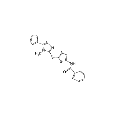 Cn1c(Sc2ncc(NC(=O)c3ccccc3)s2)nnc1-c1cccs1